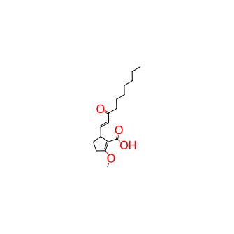 CCCCCCCC(=O)C=CC1CCC(OC)=C1C(=O)O